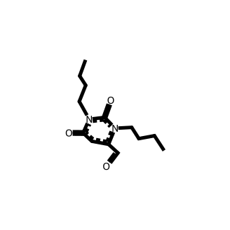 CCCCn1c(C=O)cc(=O)n(CCCC)c1=O